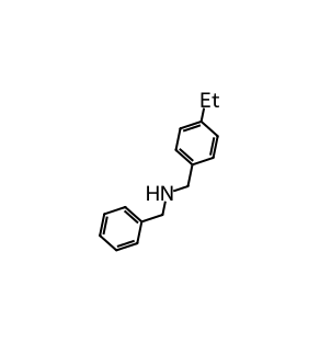 CCc1ccc(CNCc2ccccc2)cc1